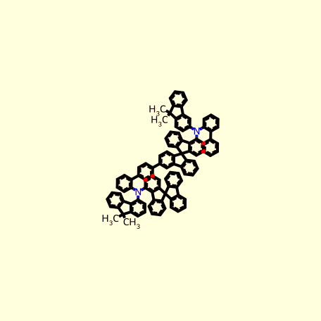 CC1(C)c2ccccc2-c2cc(N(c3ccccc3-c3ccccc3)c3cccc4c3-c3ccccc3C43c4ccccc4-c4cc(-c5ccc(-c6ccccc6N(c6cccc7c6-c6ccccc6C7(C)C)c6cccc7c6-c6ccccc6C76c7ccccc7-c7ccccc76)cc5)ccc43)ccc21